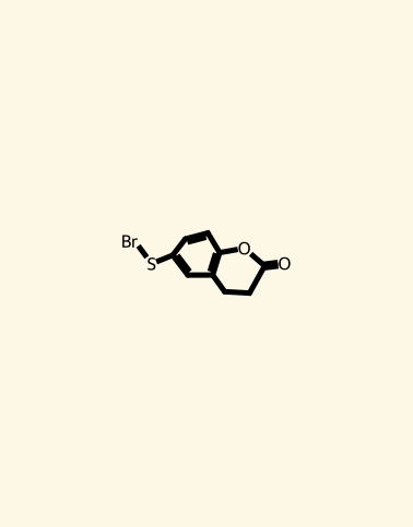 O=C1CCc2cc(SBr)ccc2O1